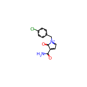 NC(=O)C1=CC=[N+](Cc2ccc(Cl)cc2)C1=O